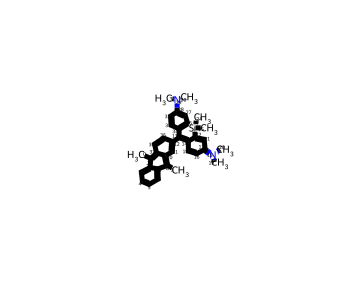 Cc1c2ccccc2c(C)c2cc(C3=C4C=CC(=[N+](C)C)C=C4[Si](C)(C)c4cc(N(C)C)ccc43)ccc12